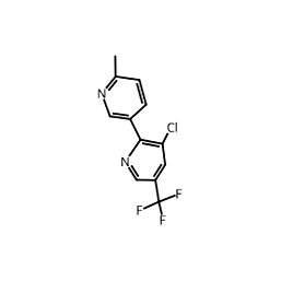 Cc1ccc(-c2ncc(C(F)(F)F)cc2Cl)cn1